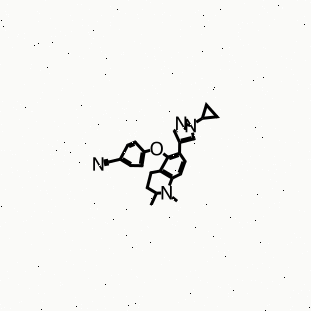 CC1CCc2c(ccc(-c3cnn(C4CC4)c3)c2Oc2ccc(C#N)cc2)N1C